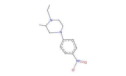 CCN1CCN(c2ccc([N+](=O)[O-])cc2)CC1C